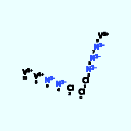 [C].[C].[C].[N-3].[N-3].[N-3].[N-3].[N-3].[V+5].[V+5].[V+5]